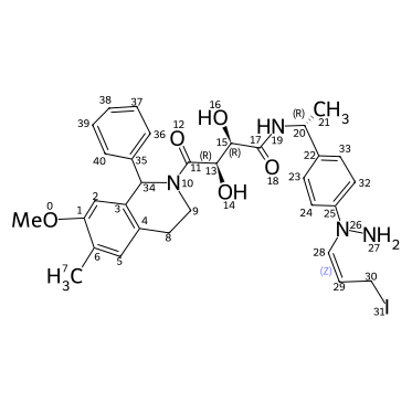 COc1cc2c(cc1C)CCN(C(=O)[C@H](O)[C@@H](O)C(=O)N[C@H](C)c1ccc(N(N)/C=C\CI)cc1)C2c1ccccc1